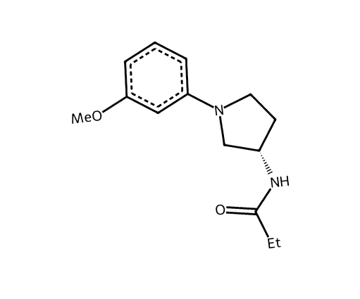 CCC(=O)N[C@H]1CCN(c2cccc(OC)c2)C1